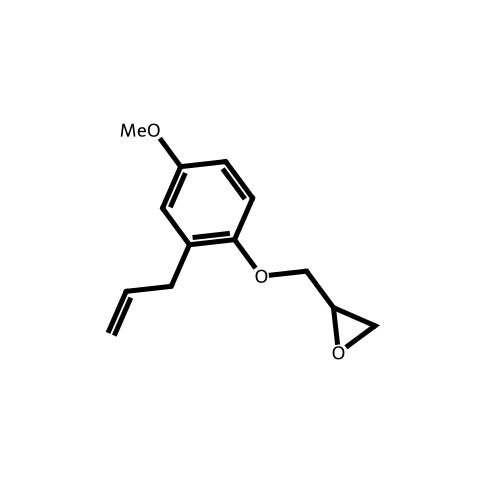 C=CCc1cc(OC)ccc1OCC1CO1